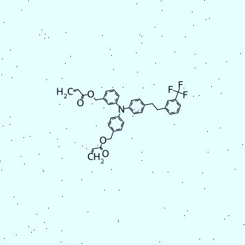 C=CC(=O)OCc1ccc(N(c2ccc(CCc3cccc(C(F)(F)F)c3)cc2)c2cccc(COC(=O)C=C)c2)cc1